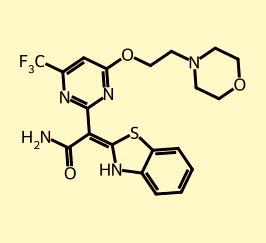 NC(=O)/C(=C1\Nc2ccccc2S1)c1nc(OCCN2CCOCC2)cc(C(F)(F)F)n1